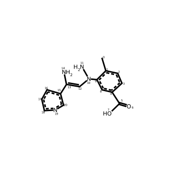 Cc1ccc(C(=O)O)cc1N(N)/C=C(\N)c1cccnc1